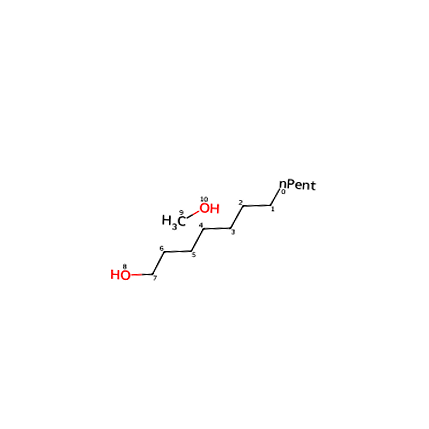 CCCCCCCCCCCCO.CO